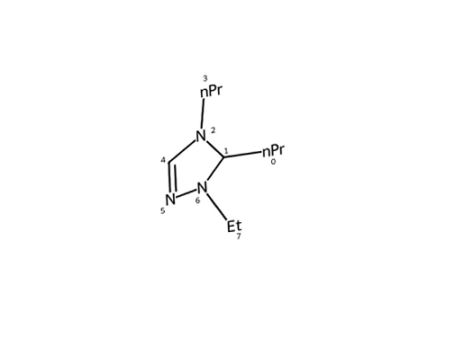 CCCC1N(CCC)C=NN1CC